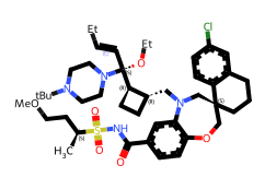 CC/C=C/[C@@](OCC)([C@@H]1CC[C@H]1CN1C[C@@]2(CCCc3cc(Cl)ccc32)COc2ccc(C(=O)NS(=O)(=O)[C@@H](C)CCOC)cc21)N1CCN(C(C)(C)C)CC1